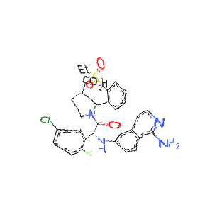 CCS(=O)(=O)c1ccccc1C1C(C(=O)O)CCN1C(=O)[C@H](Nc1ccc2c(N)nccc2c1)c1cc(Cl)ccc1F